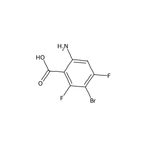 Nc1cc(F)c(Br)c(F)c1C(=O)O